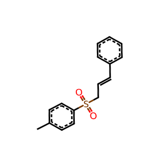 Cc1ccc(S(=O)(=O)CC=Cc2ccccc2)cc1